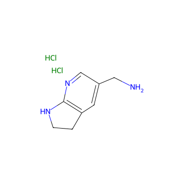 Cl.Cl.NCc1cnc2c(c1)CCN2